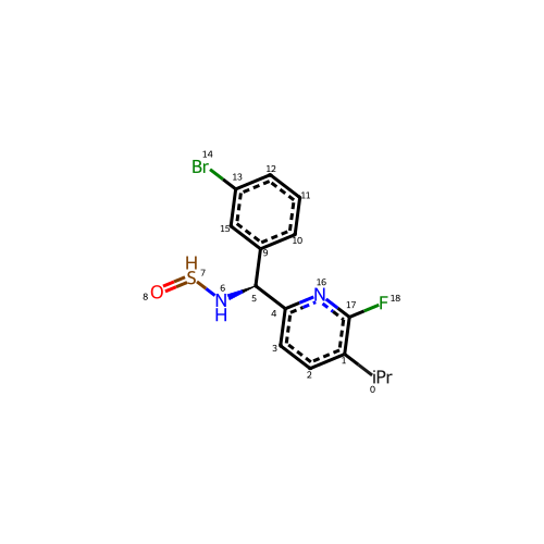 CC(C)c1ccc([C@@H](N[SH]=O)c2cccc(Br)c2)nc1F